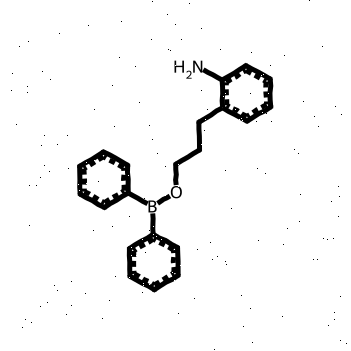 Nc1ccccc1CCCOB(c1ccccc1)c1ccccc1